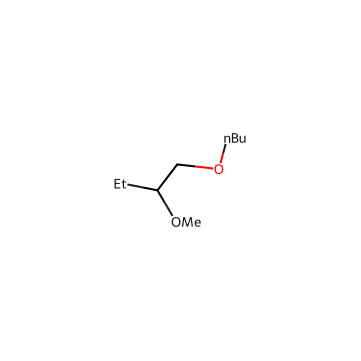 CCCCOCC(CC)OC